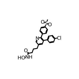 CS(=O)(=O)c1ccc(-c2ncc(CCCC(=O)NO)cc2-c2ccc(Cl)cc2)cc1